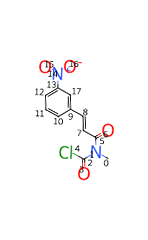 CN(C(=O)Cl)C(=O)C=Cc1cccc([N+](=O)[O-])c1